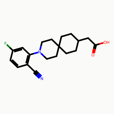 N#Cc1ccc(F)cc1N1CCC2(CCC(CC(=O)O)CC2)CC1